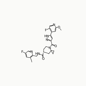 COc1cc(-c2cc(C(=O)N3CC[C@H](C(=O)NCc4ncc(F)cc4C)CC34CC4)n[nH]2)c(F)cn1